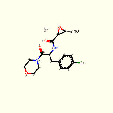 O=C([O-])[C@H]1O[C@@H]1C(=O)N[C@@H](Cc1ccc(F)cc1)C(=O)N1CCOCC1.[Na+]